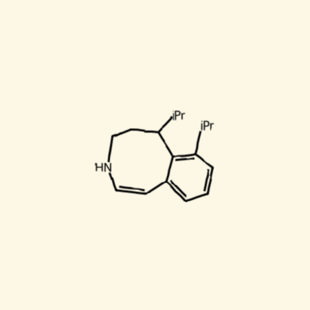 CC(C)c1cccc2c1C(C(C)C)CCN/C=C\2